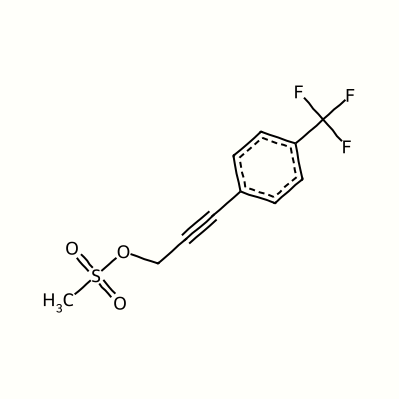 CS(=O)(=O)OCC#Cc1ccc(C(F)(F)F)cc1